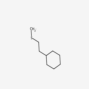 [CH2]SCCC1CCCCC1